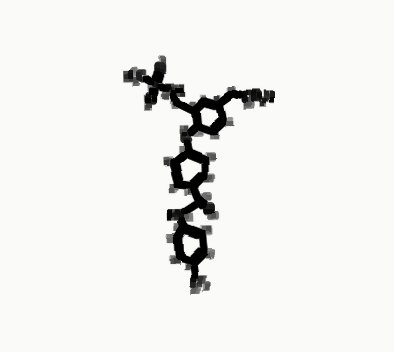 CS(=O)(=O)NCc1cc(CC(=O)O)ccc1Oc1ccc(C(=O)Nc2ccc(C(F)(F)F)cc2)cc1